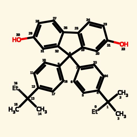 CCC(C)(C)c1ccc(C2(c3ccc(C(C)(C)CC)cc3)c3cc(O)ccc3-c3ccc(O)cc32)cc1